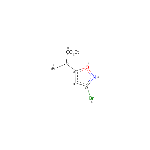 CCOC(=O)C(c1cc(Br)no1)C(C)C